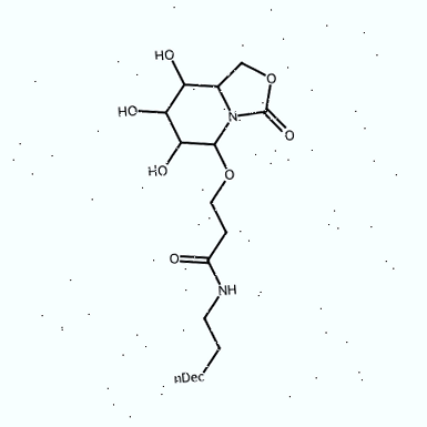 CCCCCCCCCCCCNC(=O)CCOC1C(O)C(O)C(O)C2COC(=O)N21